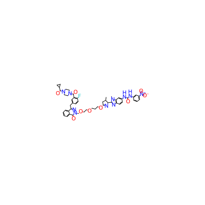 CC1CC(OCCCOCCOCn2nc(Cc3ccc(F)c(C(=O)N4CCN(C(=O)C5CC5)CC4)c3)c3ccccc3c2=O)=NC1c1nc2ccc(NC(=O)Nc3cccc([N+](=O)[O-])c3)cc2n1C